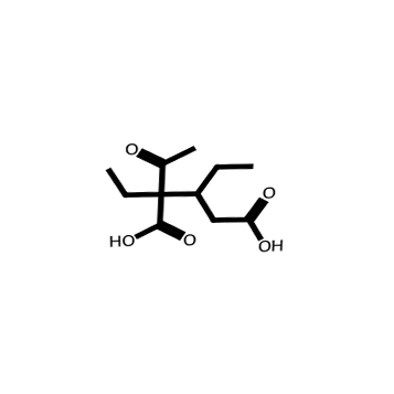 CCC(CC(=O)O)C(CC)(C(C)=O)C(=O)O